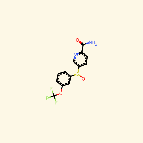 NC(=O)c1ccc([S+]([O-])c2cccc(OC(F)(F)F)c2)cn1